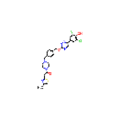 Cc1csc(CC(=O)N2CCN(Cc3ccc(COc4ncc(-c5cc(Cl)c(O)c(Cl)c5)nn4)cc3)CC2)n1